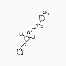 O=C(NCCCOc1c(Cl)cc(OCc2ccccc2)cc1Cl)c1ccc(C(F)(F)F)cc1